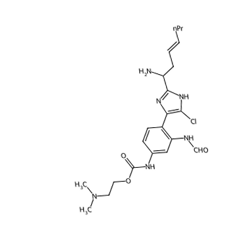 CCC/C=C/CC(N)c1nc(-c2ccc(NC(=O)OCCN(C)C)cc2NC=O)c(Cl)[nH]1